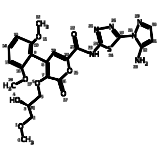 COC[C@@H](O)COc1c(-c2c(OC)cccc2OC)cc(C(=O)Nc2nnc(-n3nccc3N)s2)oc1=O